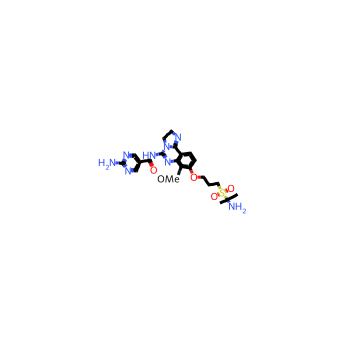 COc1c(OCCCS(=O)(=O)C(C)(C)N)ccc2c1N=C(NC(=O)c1cnc(N)nc1)N1CCN=C21